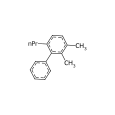 CCCc1ccc(C)c(C)c1-c1ccccc1